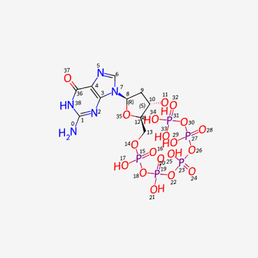 Nc1nc2c(ncn2[C@H]2C[C@H](O)[C@@H](COP(=O)(O)OP(=O)(O)OP(=O)(O)OP(=O)(O)OP(=O)(O)O)O2)c(=O)[nH]1